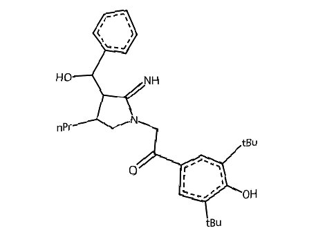 CCCC1CN(CC(=O)c2cc(C(C)(C)C)c(O)c(C(C)(C)C)c2)C(=N)C1C(O)c1ccccc1